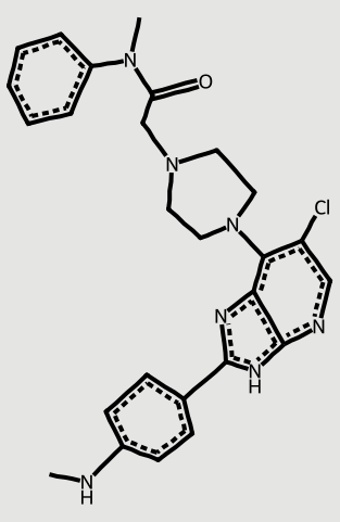 CNc1ccc(-c2nc3c(N4CCN(CC(=O)N(C)c5ccccc5)CC4)c(Cl)cnc3[nH]2)cc1